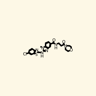 Cn1c(Nc2nc3ccc(Cl)cc3s2)nc2cc(C(=O)NCCC(=O)N3CCOCC3)ccc21